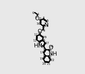 CCOc1ccnc(COc2ccc3[nH]c(-c4cc5ccccc5[nH]c4=O)cc3c2)c1